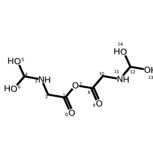 O=C(CNC(O)O)OC(=O)CNC(O)O